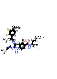 C\C=C/N=C(Nc1ccc(C(=O)NC(CCNC)C(F)(F)F)c(CC)c1)\C(C)=N\C=C(/C)c1ccc(OC)c(F)c1F